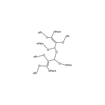 CCCCCCOC(OC(OCCCCCC)C(OCCC)=C(CCCCC)OCCC)C(OCCC)=C(CCCCC)OCCC